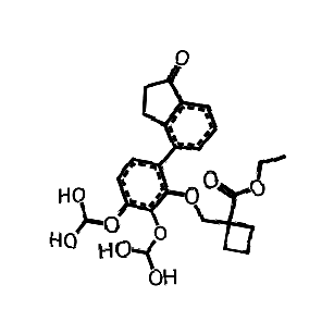 CCOC(=O)C1(COc2c(-c3cccc4c3CCC4=O)ccc(OC(O)O)c2OC(O)O)CCC1